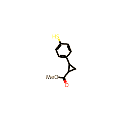 COC(=O)C1CC1c1ccc(S)cc1